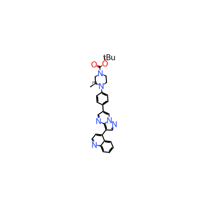 C[C@H]1CN(C(=O)OC(C)(C)C)CCN1c1ccc(-c2cnc3c(-c4ccnc5ccccc45)cnn3c2)cc1